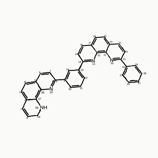 C1=Cc2ccc3ccc(-c4cccc(-c5ccc6ccc7ccc(-c8ccccc8)nc7c6n5)c4)nc3c2NC1